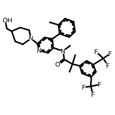 Cc1ccccc1-c1cc(N2CCC(CO)CC2)ncc1N(C)C(=O)C(C)(C)c1cc(C(F)(F)F)cc(C(F)(F)F)c1